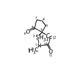 CN(SC1(C)CCCC1=O)C(=O)F